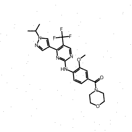 COc1cc(C(=O)N2CCOCC2)ccc1Nc1ncc(C(F)(F)F)c(-c2cnn(C(C)C)c2)n1